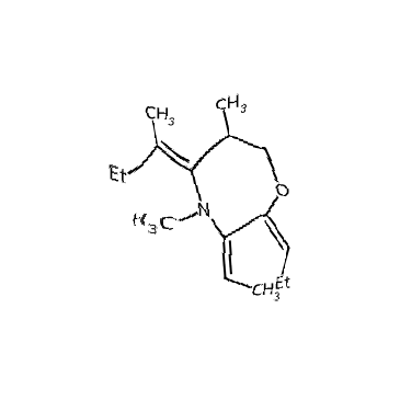 C/C=C1\C(=C/CC)OCC(C)/C(=C(\C)CC)N1C